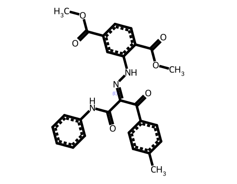 COC(=O)c1ccc(C(=O)OC)c(N/N=C(/C(=O)Nc2ccccc2)C(=O)c2ccc(C)cc2)c1